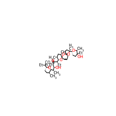 CC[C@@H](C(=O)[C@@H](C)[C@@H](O)[C@H](C)[C@@H]1O[C@@H]([C@@H](CC)C(=O)O)CC[C@@H]1C)[C@H]1O[C@]2(C=CC[C@]3(CC[C@@](C)([C@H]4CC[C@](O)(CC)[C@H](C)O4)O3)O2)[C@H](C)C[C@@H]1C